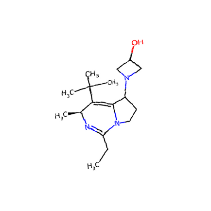 CCC1=N[C@@H](C)C(C(C)(C)C)=C2C(N3CC(O)C3)CCN12